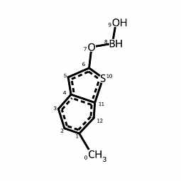 Cc1ccc2cc(OBO)sc2c1